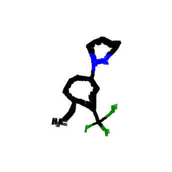 Cc1ccc(-n2cccn2)cc1C(F)(F)F